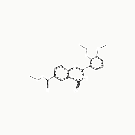 CCOC(=O)c1ccc2nc(-c3cccc(OC)c3OCC)[nH]c(=O)c2c1